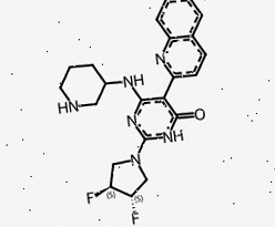 O=c1[nH]c(N2C[C@H](F)[C@@H](F)C2)nc(NC2CCCNC2)c1-c1ccc2ccccc2n1